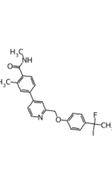 CNC(=O)c1ccc(-c2ccnc(COc3ccc(C(C)(F)I)cc3)c2)cc1C